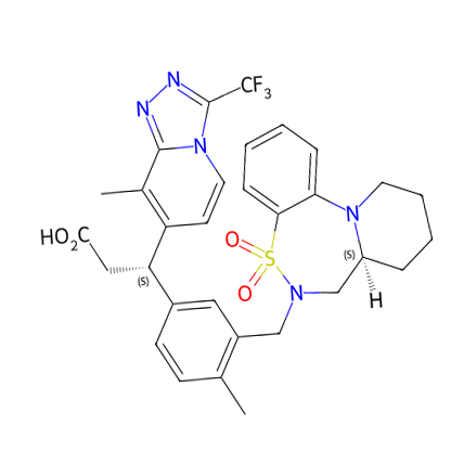 Cc1ccc([C@H](CC(=O)O)c2ccn3c(C(F)(F)F)nnc3c2C)cc1CN1C[C@@H]2CCCCN2c2ccccc2S1(=O)=O